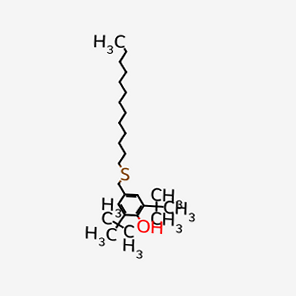 CCCCCCCCCCCCCSCc1cc(C(C)(C)C)c(O)c(C(C)(C)C)c1